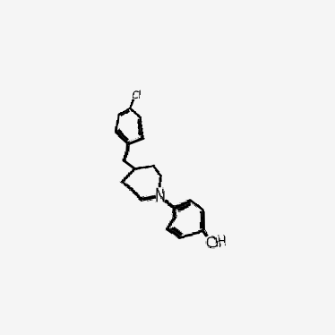 Oc1ccc(N2CCC(Cc3ccc(Cl)cc3)CC2)cc1